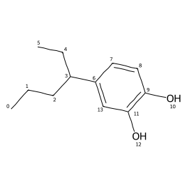 CCCC(CC)c1ccc(O)c(O)c1